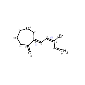 C=C/C(Br)=C\C=C1/COCCCC1=O